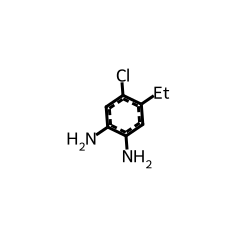 CCc1cc(N)c(N)cc1Cl